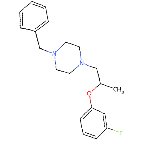 CC(CN1CCN(Cc2ccccc2)CC1)Oc1cccc(F)c1